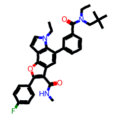 CCN(CC(C)(C)C)C(=O)c1cccc(-c2cc3c(C(=O)NC)c(-c4ccc(F)cc4)oc3c3ccn(CC)c23)c1